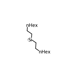 CCCCCCCC[Si]CCCCCCCC